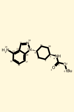 CC(C)(C)OC(=O)N[C@H]1CC[C@H](n2ncc3c(N)cccc32)CC1